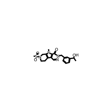 CC(O)c1cccc(Cn2ncc3c4c(n(C)c3c2=O)CN(S(C)(=O)=O)CC4)c1